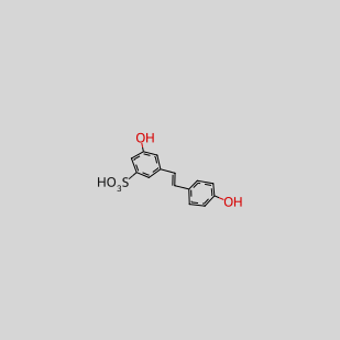 O=S(=O)(O)c1cc(O)cc(C=Cc2ccc(O)cc2)c1